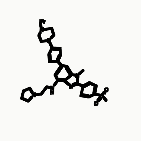 CC(C)N1CCN(c2ccc(-c3cc(NCCN4CCCC4)c4nc(-c5ccc(S(C)(=O)=O)cc5)n(C)c4c3)cc2)CC1